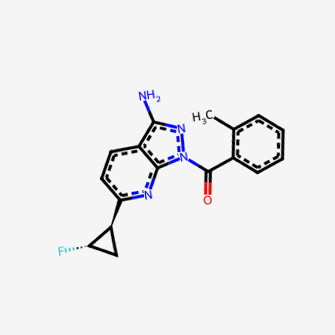 Cc1ccccc1C(=O)n1nc(N)c2ccc([C@H]3C[C@@H]3F)nc21